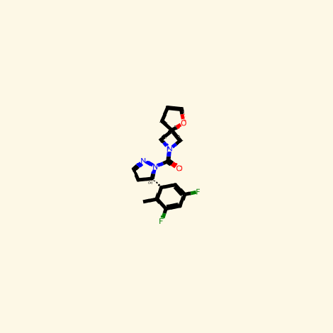 CC1C(F)=CC(F)=CC1[C@@H]1CC=NN1C(=O)N1CC2(CCCO2)C1